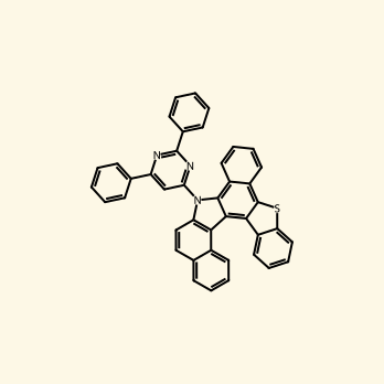 c1ccc(-c2cc(-n3c4ccc5ccccc5c4c4c5c6ccccc6sc5c5ccccc5c43)nc(-c3ccccc3)n2)cc1